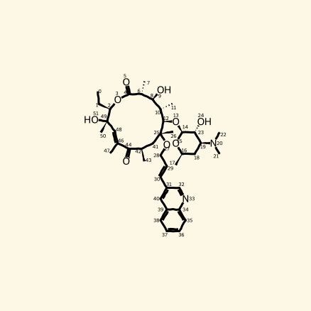 CC[C@H]1OC(=O)[C@H](C)[C@@H](O)[C@H](C)[C@@H](O[C@@H]2O[C@H](C)C[C@H](N(C)C)[C@H]2O)[C@](C)(OC/C=C/c2cnc3ccccc3c2)C[C@@H](C)C(=O)/C(C)=C/[C@]1(C)O